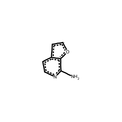 Nc1nccc2c[c]oc12